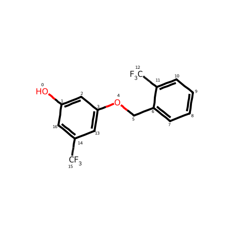 Oc1cc(OCc2ccccc2C(F)(F)F)cc(C(F)(F)F)c1